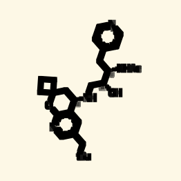 CC(=O)N[C@@H](Cc1ccncc1)[C@H](O)CN[C@H]1CC2(CCC2)Oc2ncc(CC(C)(C)C)cc21